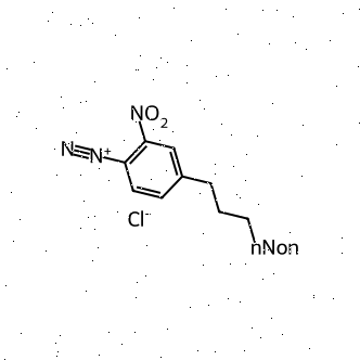 CCCCCCCCCCCCc1ccc([N+]#N)c([N+](=O)[O-])c1.[Cl-]